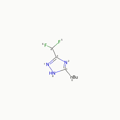 CCCCc1nc(C(F)F)n[nH]1